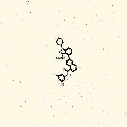 CCNc1nn(C2CCCCC2)c2cccc(-c3ccc4c(C(=O)Nc5cc(Cl)cc(Cl)c5)cccc4c3)c12